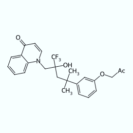 CC(=O)COc1cccc(C(C)(C)CC(O)(Cn2ccc(=O)c3ccccc32)C(F)(F)F)c1